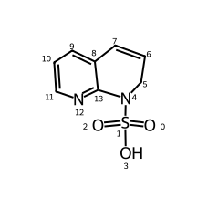 O=S(=O)(O)N1CC=Cc2cccnc21